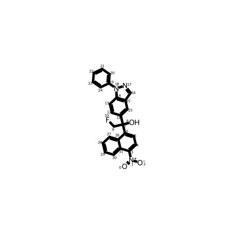 O=[N+]([O-])c1ccc(C(O)(CF)c2ccc3c(cnn3-c3ccccc3)c2)c2ccccc12